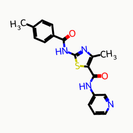 Cc1ccc(C(=O)Nc2nc(C)c(C(=O)Nc3cccnc3)s2)cc1